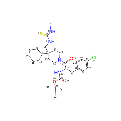 CNC(=S)NCC1(C2CCCCC2)CCN(C(=O)C(Cc2ccc(Cl)cc2)NC(=O)OC(C)(C)C)CC1